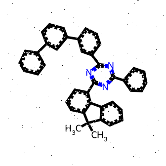 CC1(C)c2ccccc2-c2c(-c3nc(-c4ccccc4)nc(-c4cccc(-c5cccc(-c6ccccc6)c5)c4)n3)cccc21